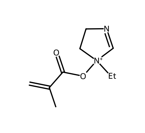 C=C(C)C(=O)O[N+]1(CC)C=NCC1